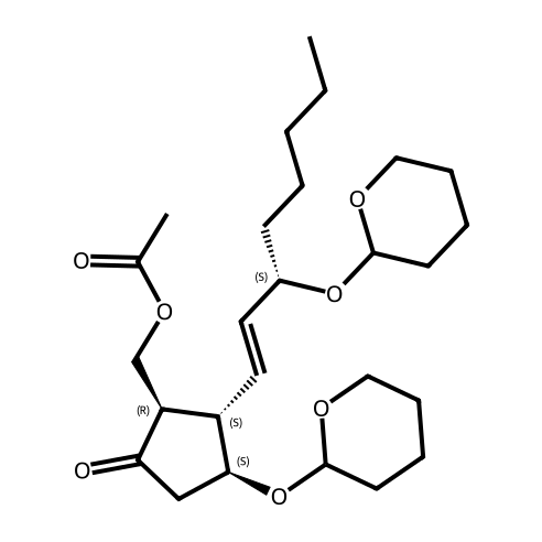 CCCCC[C@@H](C=C[C@@H]1[C@@H](OC2CCCCO2)CC(=O)[C@H]1COC(C)=O)OC1CCCCO1